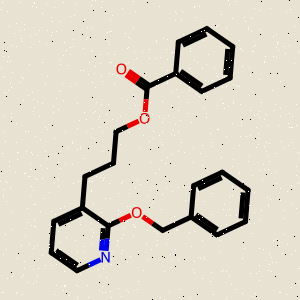 O=C(OCCCc1cccnc1OCc1ccccc1)c1ccccc1